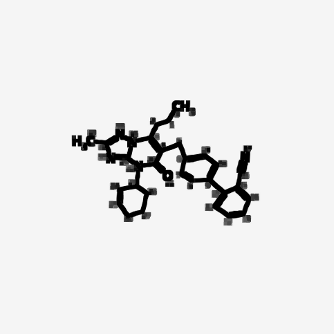 CCCc1c(Cc2ccc(-c3ccccc3C#N)cc2)c(=O)n(C2C=CCCC2)c2nc(C)nn12